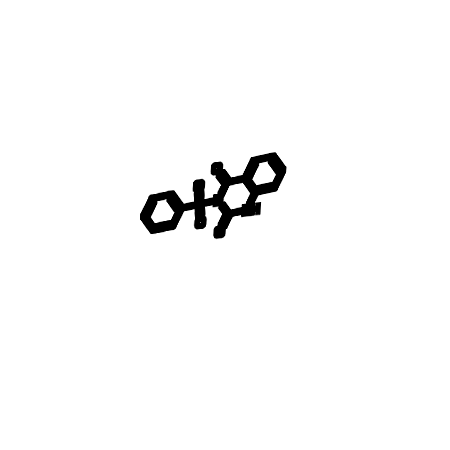 O=c1[nH]c2ccccc2c(=O)n1S(=O)(=O)c1ccccc1